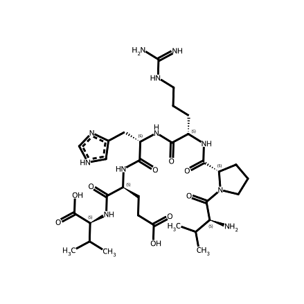 CC(C)[C@H](N)C(=O)N1CCC[C@H]1C(=O)N[C@@H](CCCNC(=N)N)C(=O)N[C@@H](Cc1c[nH]cn1)C(=O)N[C@@H](CCC(=O)O)C(=O)N[C@H](C(=O)O)C(C)C